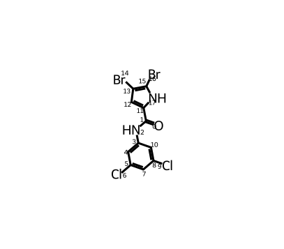 O=C(Nc1cc(Cl)cc(Cl)c1)c1cc(Br)c(Br)[nH]1